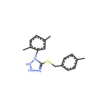 Cc1ccc(CSC2=NNNN2c2cc(C)ccc2C)cc1